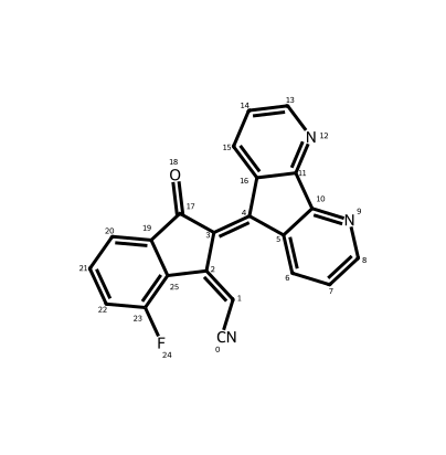 N#C/C=C1/C(=C2c3cccnc3-c3ncccc32)C(=O)c2cccc(F)c21